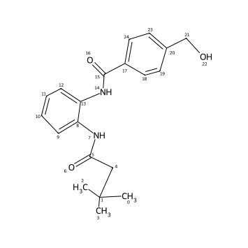 CC(C)(C)CC(=O)Nc1ccccc1NC(=O)c1ccc(CO)cc1